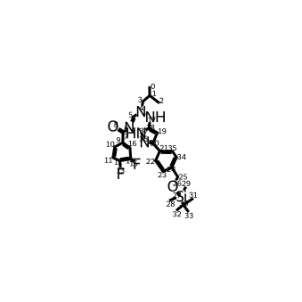 CC(C)CN(C=NC(=O)c1ccc(F)c(F)c1)Nc1cc(-c2ccc(CO[Si](C)(C)C(C)(C)C)cc2)n[nH]1